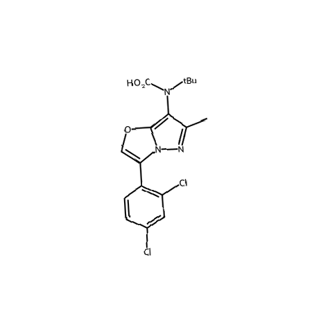 Cc1nn2c(-c3ccc(Cl)cc3Cl)coc2c1N(C(=O)O)C(C)(C)C